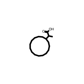 CC(C(=O)O)C1CCCCCCCCCCCCCC1